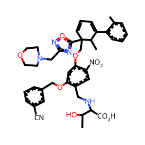 Cc1ccccc1C1=CC=CC(COc2cc(OCc3cccc(C#N)c3)c(CNC(C(=O)O)C(C)O)cc2[N+](=O)[O-])(c2nc(CN3CCOCC3)no2)C1C